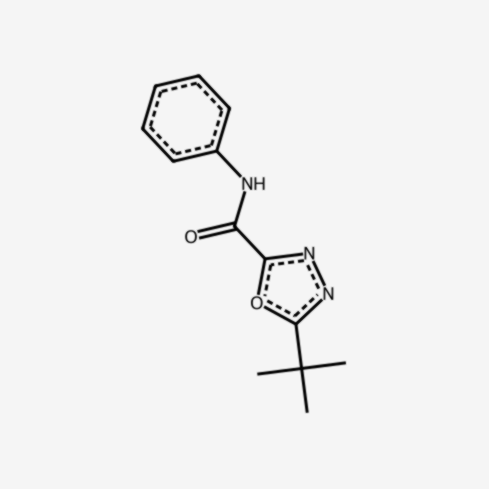 CC(C)(C)c1nnc(C(=O)Nc2ccccc2)o1